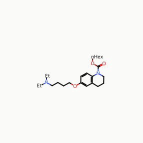 CCCCCCOC(=O)N1CCCc2cc(OCCCCN(CC)CC)ccc21